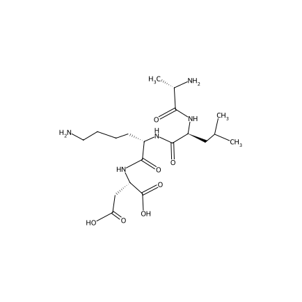 CC(C)C[C@H](NC(=O)[C@H](C)N)C(=O)N[C@@H](CCCCN)C(=O)N[C@@H](CC(=O)O)C(=O)O